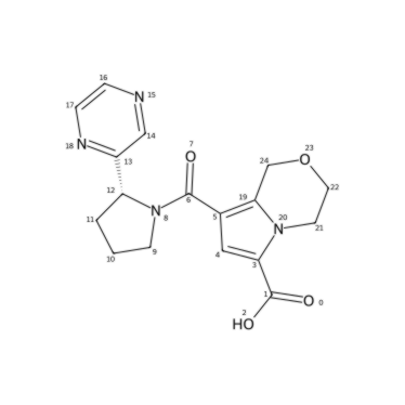 O=C(O)c1cc(C(=O)N2CCC[C@@H]2c2cnccn2)c2n1CCOC2